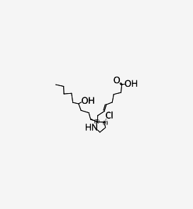 CCCCCC(O)CCC[C@]1(CC=CCCCC(=O)O)NCC[C@H]1Cl